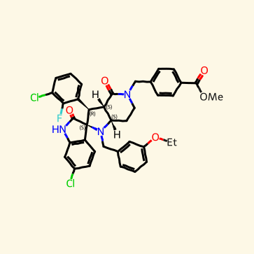 CCOc1cccc(CN2[C@H]3CCN(Cc4ccc(C(=O)OC)cc4)C(=O)[C@H]3[C@H](c3cccc(Cl)c3F)[C@]23C(=O)Nc2cc(Cl)ccc23)c1